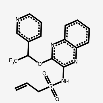 C=CCS(=O)(=O)Nc1nc2ccccc2nc1OC(c1cccnc1)C(F)(F)F